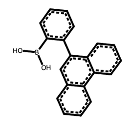 OB(O)c1ccccc1-c1cc2ccccc2c2ccccc12